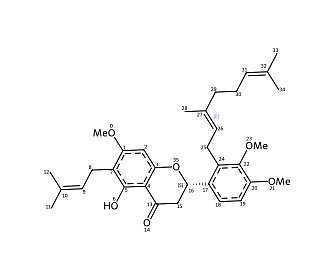 COc1cc2c(c(O)c1CC=C(C)C)C(=O)C[C@@H](c1ccc(OC)c(OC)c1C/C=C(\C)CCC=C(C)C)O2